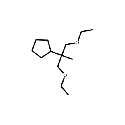 CCOCC(C)(COCC)C1CCCC1